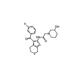 O=C(CN1CCCC(O)C1)Nc1sc2c(c1C(=O)c1cccc(F)c1)CCSC2